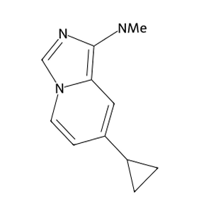 CNc1ncn2ccc(C3CC3)cc12